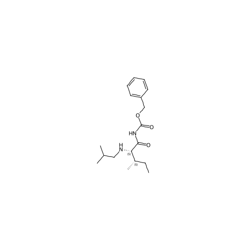 CC[C@H](C)[C@H](NCC(C)C)C(=O)NC(=O)OCc1ccccc1